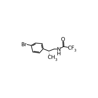 C[C@@H](CNC(=O)C(F)(F)F)c1ccc(Br)cc1